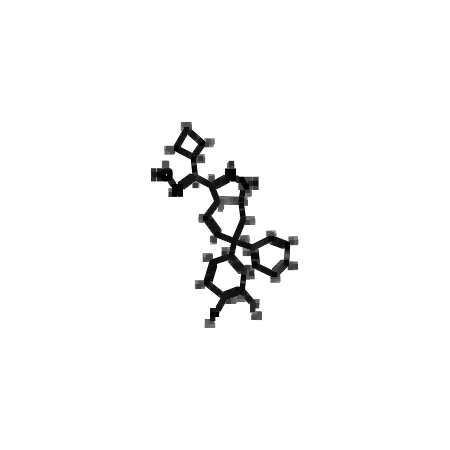 ON=C(c1n[nH]c2c1C=CC(c1ccccc1)(c1ccc(F)c(F)c1)C2)C1CCC1